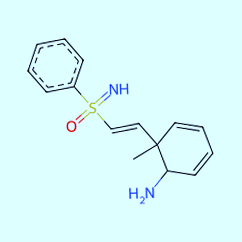 CC1(/C=C/S(=N)(=O)c2ccccc2)C=CC=CC1N